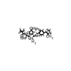 C=C(NCc1ccc(-c2scnc2C)cc1C(C)C)[C@@H]1C[C@@H](O)CN1C(=O)[C@@H](NC(=O)C1(F)CC1)C(C)(C)C